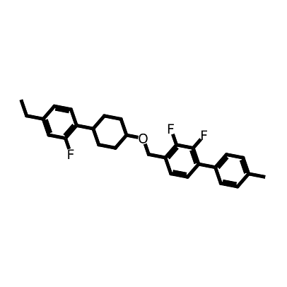 CCc1ccc(C2CCC(OCc3ccc(-c4ccc(C)cc4)c(F)c3F)CC2)c(F)c1